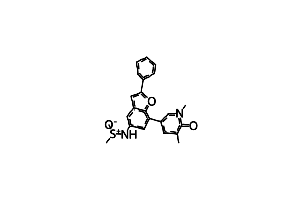 Cc1cc(-c2cc(N[S+](C)[O-])cc3cc(-c4ccccc4)oc23)cn(C)c1=O